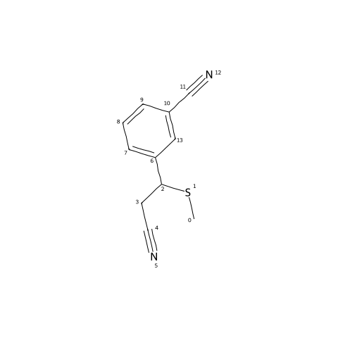 CSC(CC#N)c1cccc(C#N)c1